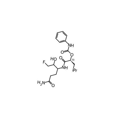 CC(C)C[C@H](OC(=O)Nc1ccccc1)C(=O)NC(CCC(N)=O)C(O)CF